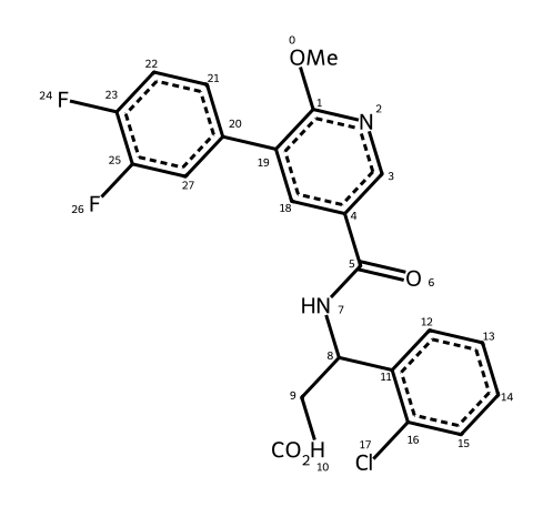 COc1ncc(C(=O)NC(CC(=O)O)c2ccccc2Cl)cc1-c1ccc(F)c(F)c1